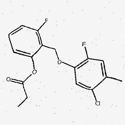 CCC(=O)Oc1cccc(F)c1COc1cc(Cl)c(C)cc1F